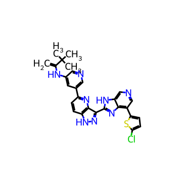 C=C(Nc1cncc(-c2ccc3[nH]nc(-c4nc5c(-c6ccc(Cl)s6)cncc5[nH]4)c3n2)c1)C(C)(C)C